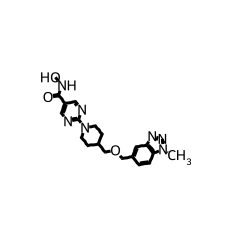 Cn1nnc2cc(COCC3CCN(c4ncc(C(=O)NO)cn4)CC3)ccc21